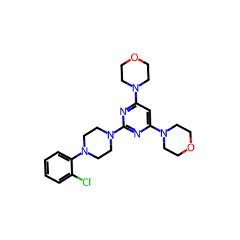 Clc1ccccc1N1CCN(c2nc(N3CCOCC3)cc(N3CCOCC3)n2)CC1